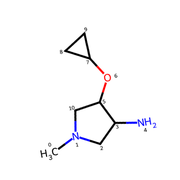 CN1CC(N)C(OC2CC2)C1